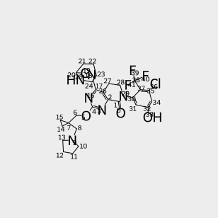 O=C1c2nc(OCC3(CN4CCCC4)CC3)nc(N3CC4CCC3CN4)c2CCN1c1cc(O)cc(Cl)c1C(F)(F)F